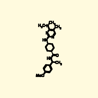 COc1ccc(C(C)NC(=O)[C@H]2CC[C@@H](Nc3ncc(C)c(N(C)C)n3)CC2)cc1